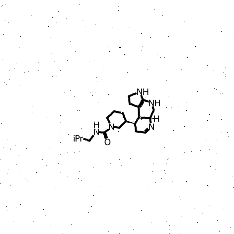 CC(C)CNC(=O)N1CCCC([C@@H]2CC=N[C@@H]3CNC4=C(CCN4)C23)C1